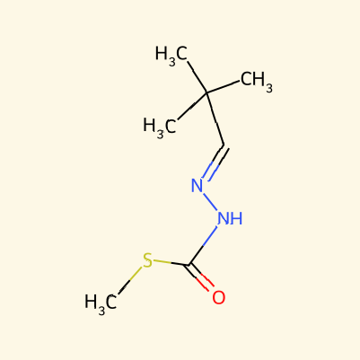 CSC(=O)N/N=C/C(C)(C)C